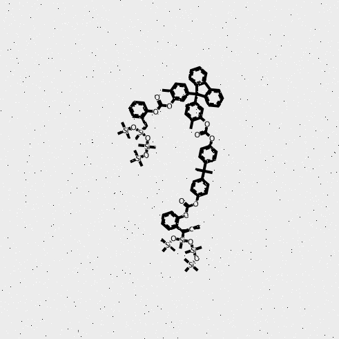 C=C=C(c1ccccc1OC(=O)Oc1ccc(C(C)(C)c2ccc(OC(=O)Oc3cc(C4(c5ccc(C)c(OC(=O)Oc6ccccc6C[Si](C)(O[Si](C)(C)C)O[Si](C)(C)O[Si](C)(C)C)c5)c5ccccc5-c5ccccc54)ccc3C)cc2)cc1)[Si](C)(O[Si](C)(C)C)O[Si](C)(C)O[Si](C)(C)C